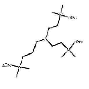 CCCCCCCCCC[N+](C)(C)CCCN(CC[N+](C)(C)CCCCCCCCCC)CC[N+](C)(C)CCCCCCCCCC